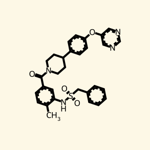 Cc1ccc(C(=O)N2CCC(c3ccc(Oc4cncnc4)cc3)CC2)cc1NS(=O)(=O)Cc1ccccc1